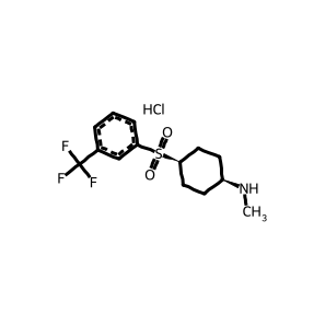 CN[C@H]1CC[C@@H](S(=O)(=O)c2cccc(C(F)(F)F)c2)CC1.Cl